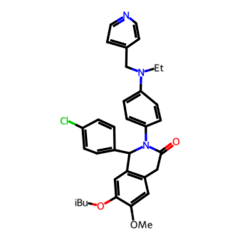 CCC(C)Oc1cc2c(cc1OC)CC(=O)N(c1ccc(N(CC)Cc3ccncc3)cc1)C2c1ccc(Cl)cc1